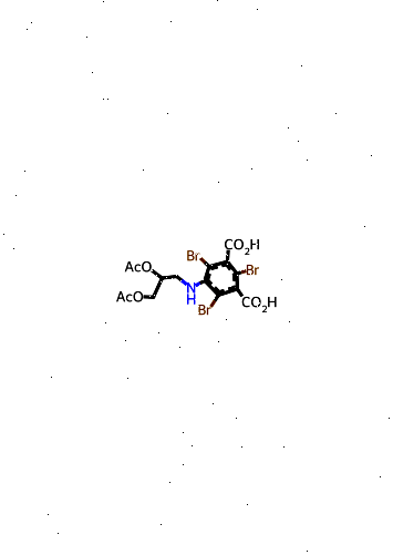 CC(=O)OCC(CNc1c(Br)c(C(=O)O)c(Br)c(C(=O)O)c1Br)OC(C)=O